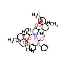 C[C@H]1[C@@H](/C(C[C@H]2O[C@@H]3O[C@]4(C)CC[C@H]5[C@H](C)CC[C@@H]([C@H]2C)[C@@]35OO4)=N\OC(=O)N(c2ccccc2)c2ccccc2)O[C@@H]2O[C@]3(C)CC[C@H]4[C@H](C)CC[C@@H]1[C@@]24OO3